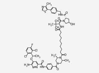 Cc1ncsc1-c1ccc(CNC(=O)[C@@H]2C[C@@H](O)CN2C(=O)[C@@H](NC(=O)CCCCCCCCC(=O)N2[C@H](C)CN(C(=O)c3ccc(NC(=O)c4cc(O[C@H](C)c5c(Cl)ccc(F)c5Cl)c(N)nn4)cc3)C[C@@H]2C)C(C)(C)C)cc1